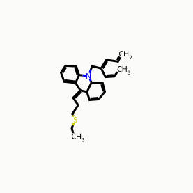 C=C/C=C(\C=C/C)CN1c2ccccc2/C(=C/CCSCC)C2C=CC=CC21